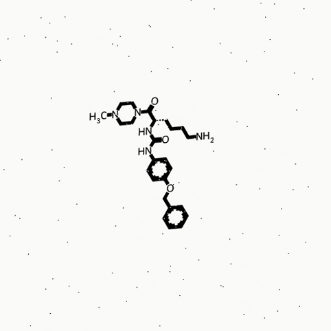 CN1CCN(C(=O)[C@H](CCCCN)NC(=O)Nc2ccc(OCc3ccccc3)cc2)CC1